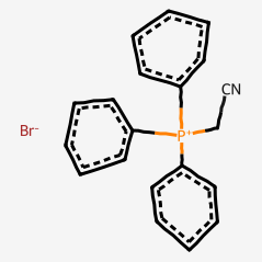 N#CC[P+](c1ccccc1)(c1ccccc1)c1ccccc1.[Br-]